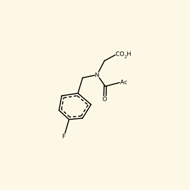 CC(=O)C(=O)N(CC(=O)O)Cc1ccc(F)cc1